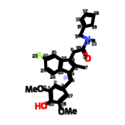 COc1cc(/C=C2/C(C)=C(CC(=O)N(C)CC3=CC=CC3)c3cc(F)ccc32)cc(OC)c1O